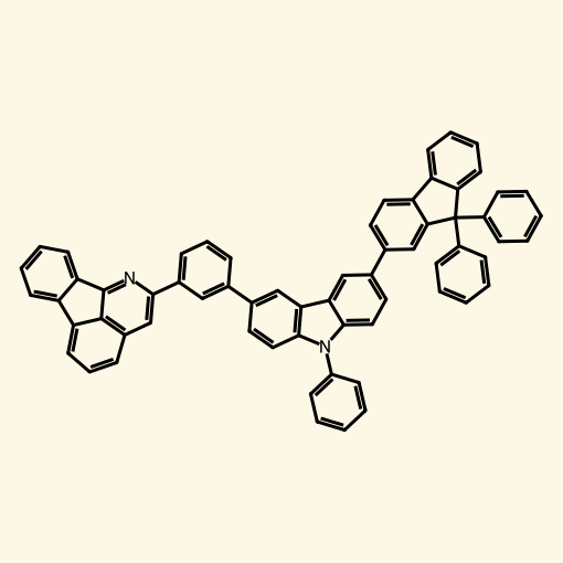 c1ccc(-n2c3ccc(-c4cccc(-c5cc6cccc7c6c(n5)-c5ccccc5-7)c4)cc3c3cc(-c4ccc5c(c4)C(c4ccccc4)(c4ccccc4)c4ccccc4-5)ccc32)cc1